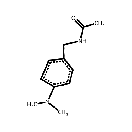 CC(=O)NCc1ccc(N(C)C)cc1